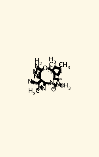 Cc1ccc2c(c1)[C@@H](C)Oc1cc(nnc1N)-c1c(nn(C)c1C#N)Cn1c-2cn(C)c1=O